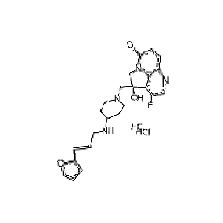 Cl.Cl.O=c1ccc2ncc(F)c3c2n1C[C@@]3(O)CN1CCC(NC/C=C/c2ccco2)CC1